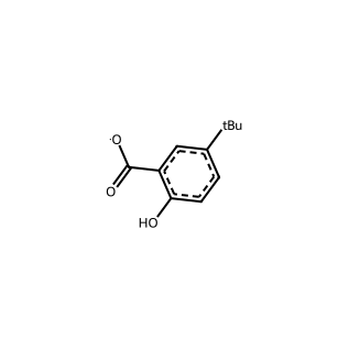 CC(C)(C)c1ccc(O)c(C([O])=O)c1